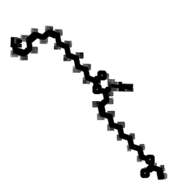 C=CC(=O)OCCCCCCCC/C=C\CC(CCCCCC)OC(=O)CCCCCCC/C=C\C/C=C\C/C=C\CC